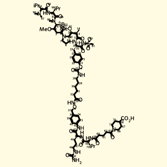 CC[C@H](C)[C@@H]([C@@H](CC(=O)N1CCC[C@H]1[C@H](OC)[C@@H](C)C(=O)N[C@@H](Cc1ccc(OC(=O)NCCCCCC(=O)NOCc2ccc(NC(=O)[C@H](CCCNC(N)=O)NC(=O)[C@@H](NC(=O)CCCC(=O)N3CCC(C(=O)O)CC3)C(C)C)cc2)cc1)C(=O)NS(C)(=O)=O)OC)N(C)C(=O)[C@@H](NC(=O)[C@H](C(C)C)N(C)C)C(C)C